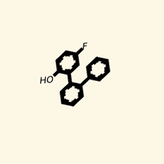 Oc1ccc(F)cc1-c1ccccc1-c1ccccc1